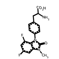 Cn1c(=O)n(-c2ccc(CC(N)C(=O)O)cc2)c2c(F)cc(F)cc21